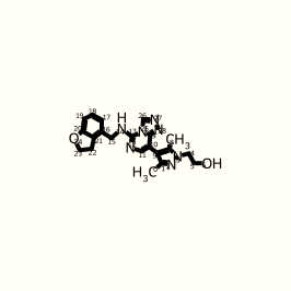 Cc1nn(CCO)c(C)c1-c1cnc(NCc2cccc3c2CCO3)n2cnnc12